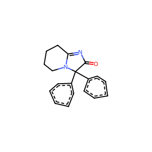 O=C1N=C2CCCCN2C1(c1ccccc1)c1ccccc1